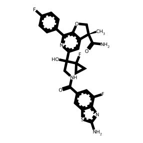 C[C@]1(C(N)=O)COc2c1cc(C(O)(CNC(=O)c1cc(F)c3nc(N)sc3c1)C1(F)CC1)nc2-c1ccc(F)cc1